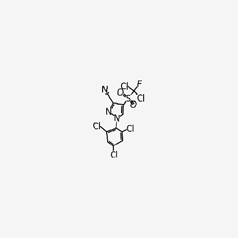 N#Cc1nn(-c2c(Cl)cc(Cl)cc2Cl)cc1S(=O)(=O)C(F)(Cl)Cl